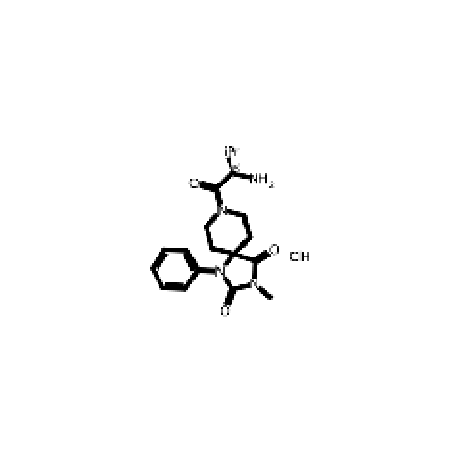 CC(C)[C@@H](N)C(=O)N1CCC2(CC1)C(=O)N(C)C(=O)N2c1ccccc1.Cl